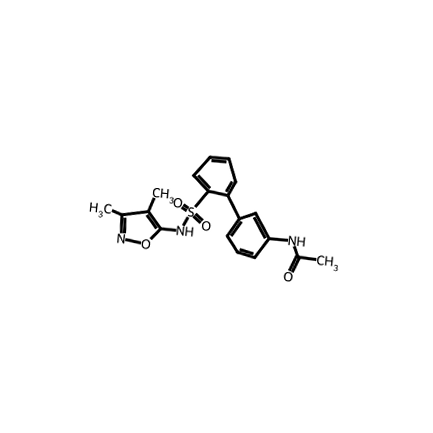 CC(=O)Nc1cccc(-c2ccccc2S(=O)(=O)Nc2onc(C)c2C)c1